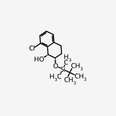 CC(C)(C)[Si](C)(C)O[C@@H]1CCc2cccc(Cl)c2[C@@H]1O